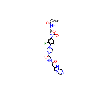 COC(=O)NC[C@H]1CN(c2cc(F)c(N3CCN(C(=O)CNC(=O)Cc4cn5ccncc5n4)CC3)c(F)c2)C(=O)O1